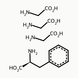 NCC(=O)O.NCC(=O)O.NCC(=O)O.N[C@@H](Cc1ccccc1)C(=O)O